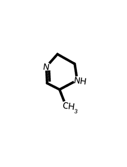 CC1C=NCCN1